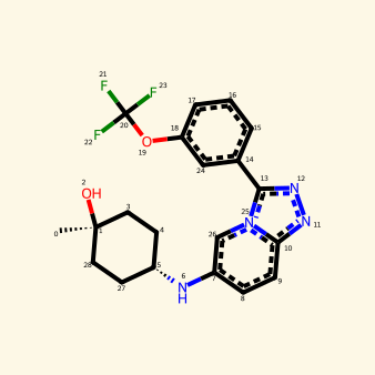 C[C@]1(O)CC[C@H](Nc2ccc3nnc(-c4cccc(OC(F)(F)F)c4)n3c2)CC1